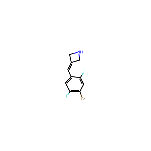 Fc1cc(C=C2CNC2)c(F)cc1Br